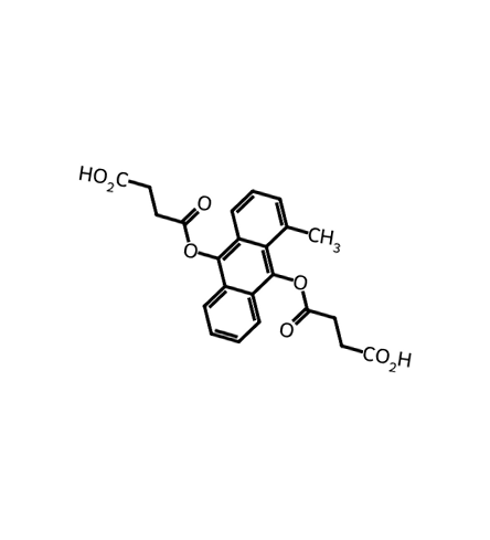 Cc1cccc2c(OC(=O)CCC(=O)O)c3ccccc3c(OC(=O)CCC(=O)O)c12